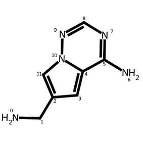 NCc1cc2c(N)ncnn2c1